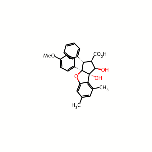 COc1ccc([C@@]23Oc4cc(C)cc(C)c4[C@]2(O)[C@H](O)[C@H](C(=O)O)[C@H]3c2ccccc2)cc1